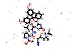 COc1ccc(C(OC[C@@H]2C[C@@H](OP(OCCC#N)N(C(C)C)C(C)C)CN2C(=O)[C@H](CC(C)C)NC(=O)[C@@H]2CCCN2C(=O)O)(c2ccccc2)c2ccc(OC)cc2)cc1